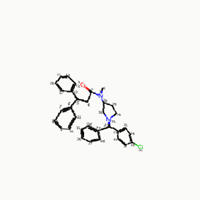 CN(C(=O)CC(c1ccccc1)c1ccccc1)C1CCN(C(c2ccccc2)c2ccc(Cl)cc2)C1